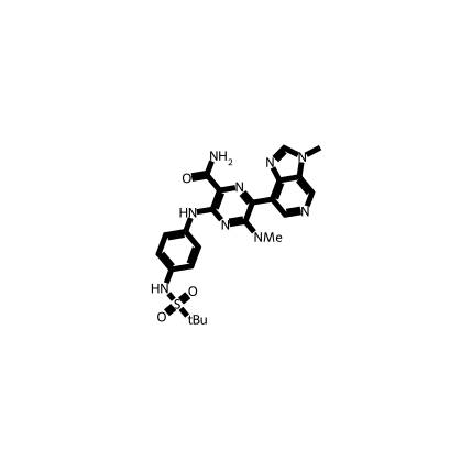 CNc1nc(Nc2ccc(NS(=O)(=O)C(C)(C)C)cc2)c(C(N)=O)nc1-c1cncc2c1ncn2C